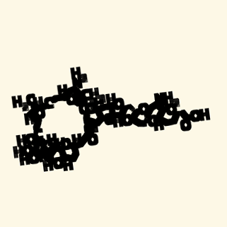 C=C1C[C@@H]2CC[C@]34OC([C@@H]5O[C@H]6CC[C@H](CC(=O)O[C@@H]7CC8OC9C[C@H](C[C@@H]%10O[C@@]%11(CC[C@@H]%10O)C[C@H](N)[C@@H]%10O[C@H](CC(=O)O)CC[C@@H]%10O%11)O[C@@H]9C[C@@H]8O[C@H]7C[C@H]7O[C@@H](CC[C@@H]1O2)C[C@@H](N)C7=C)O[C@@H]6[C@H](O3)[C@@H]5I)C(O)(O)[C@H]4O